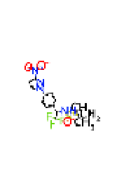 CC(C)(C)[S+]([O-])NC(c1ccc(-n2ccc([N+](=O)[O-])n2)cc1)C(F)(F)F